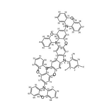 Cc1cc(C)c(-n2c3cc4c(cc3c3cc5c(cc32)Oc2cc(N3c6ccccc6Oc6ccccc63)cc3c2B5c2ccccc2O3)B2c3ccccc3Oc3cc(N5c6ccccc6Oc6ccccc65)cc(c32)O4)c(C)c1